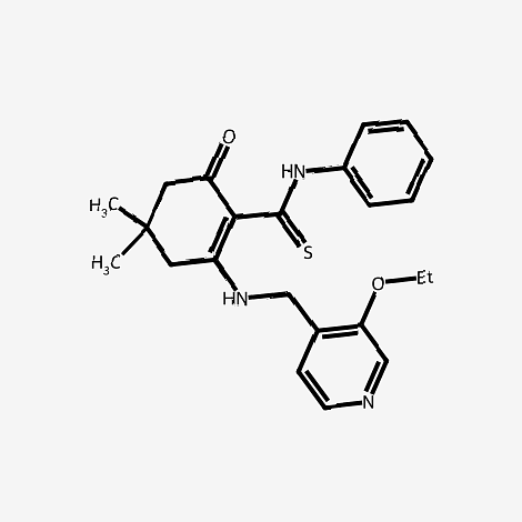 CCOc1cnccc1CNC1=C(C(=S)Nc2ccccc2)C(=O)CC(C)(C)C1